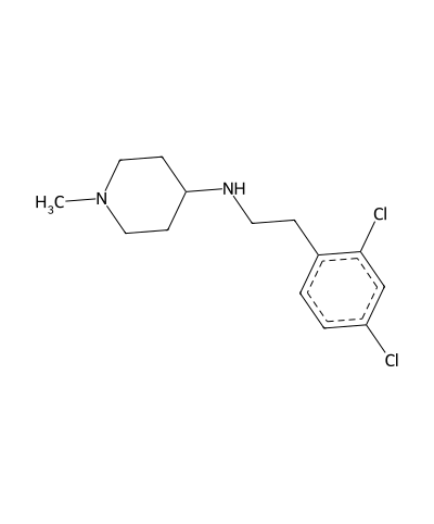 CN1CCC(NCCc2ccc(Cl)cc2Cl)CC1